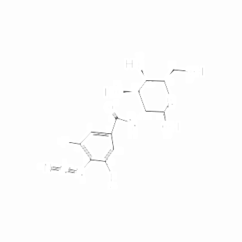 [N-]=[N+]=Nc1c(F)cc(C(=O)N[C@H]2C(O)O[C@H](CO)[C@H](O)[C@@H]2O)cc1F